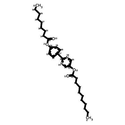 CCCCCCCCCCC(=O)Oc1cnc(-c2ccc(OC(=O)CCCCCCCC)cc2)nc1